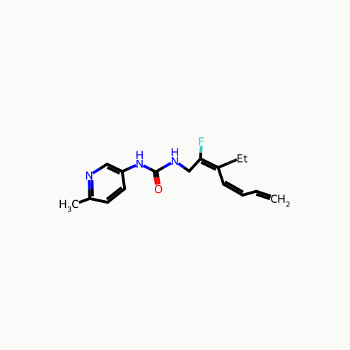 C=C/C=C\C(CC)=C(\F)CNC(=O)Nc1ccc(C)nc1